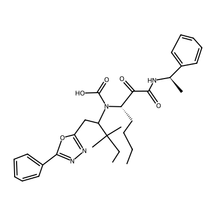 CCCC[C@@H](C(=O)C(=O)N[C@H](C)c1ccccc1)N(C(=O)O)C(Cc1nnc(-c2ccccc2)o1)C(C)(C)CC